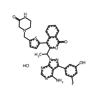 CC(c1oc(=O)c2ccccc2c1-c1ccc(CN2CCNC(=O)C2)s1)n1nc(-c2cc(O)cc(F)c2)c2c(N)ncnc21.Cl